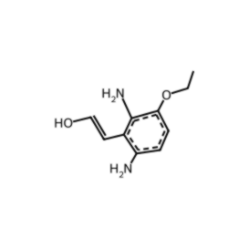 CCOc1ccc(N)c(C=CO)c1N